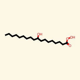 CCCCCCCCCC(O)CCCCCCCC(=O)OO